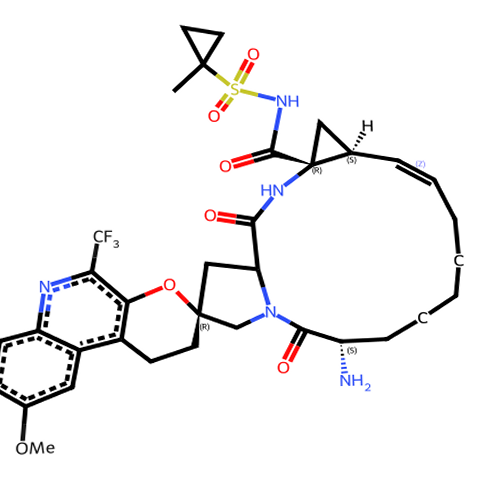 COc1ccc2nc(C(F)(F)F)c3c(c2c1)CC[C@]1(CC2C(=O)N[C@]4(C(=O)NS(=O)(=O)C5(C)CC5)C[C@H]4/C=C\CCCCC[C@H](N)C(=O)N2C1)O3